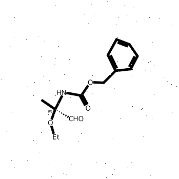 CCO[C@](C)(C=O)NC(=O)OCc1ccccc1